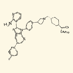 COC(=O)[C@H]1CC[C@H](CN2CC(c3ccc(-n4c(-c5cccnc5N)nc5cc(-c6ccc(F)cc6)cnc54)cc3)C2)CC1